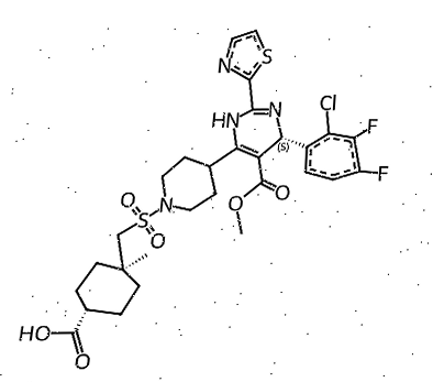 COC(=O)C1=C(C2CCN(S(=O)(=O)C[C@]3(C)CC[C@@H](C(=O)O)CC3)CC2)NC(c2nccs2)=N[C@@H]1c1ccc(F)c(F)c1Cl